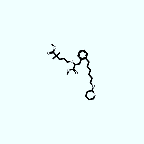 COC(=O)C(Cc1ccccc1CCCCCCOC1CCCCO1)OCCCC(C)(C)C(=O)OC